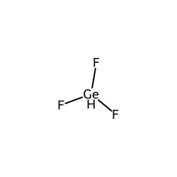 [F][GeH]([F])[F]